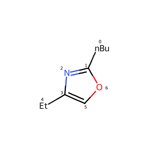 [CH2]CCCc1nc(CC)co1